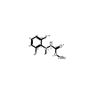 CN(NC(=O)OC(C)(C)C)c1c(F)cccc1F